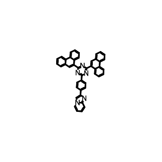 c1ccc2c(c1)cc(-c1nc(-c3ccc(-c4cn5ccccc5n4)cc3)nc(-c3cc4ccccc4c4ccccc34)n1)c1ccccc12